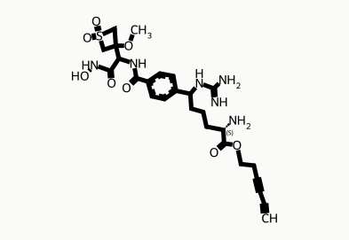 C#CC#CCCOC(=O)[C@@H](N)CCCC(NC(=N)N)c1ccc(C(=O)NC(C(=O)NO)C2(OC)CS(=O)(=O)C2)cc1